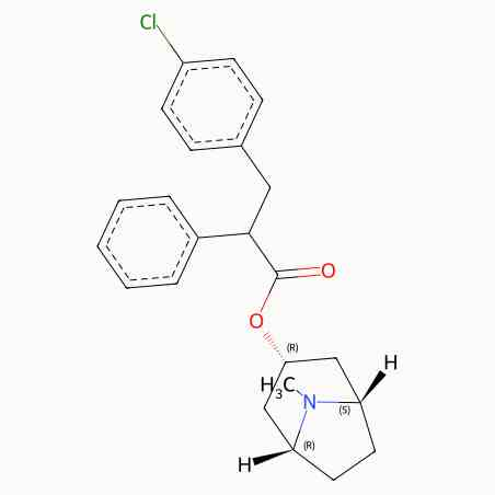 CN1[C@@H]2CC[C@H]1C[C@@H](OC(=O)C(Cc1ccc(Cl)cc1)c1ccccc1)C2